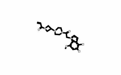 C=CC(=O)N1CC(N2CCN(C(=O)Cn3ccc4c(Cl)c(Cl)cc(OC)c43)CC2)C1